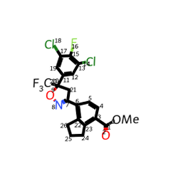 COC(=O)c1ccc(C2=NOC(c3cc(Cl)c(F)c(Cl)c3)(C(F)(F)F)C2)c2c1CCC2